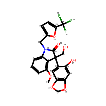 COc1cccc2c1C(CO)(c1cc3c(cc1O)OCO3)C(=O)N2Cc1ccc(C(F)(F)F)o1